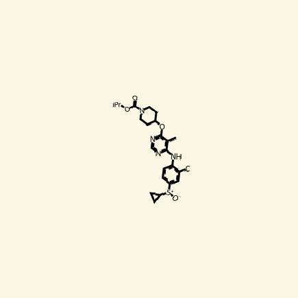 Cc1c(Nc2ccc([S+]([O-])C3CC3)cc2Cl)ncnc1OC1CCN(C(=O)OC(C)C)CC1